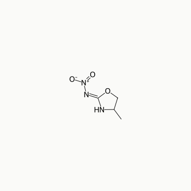 CC1COC(=N[N+](=O)[O-])N1